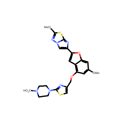 COc1cc(OCc2csc(N3CCN(C(=O)O)CC3)n2)c2cc(-c3cn4nc(OC)sc4n3)oc2c1